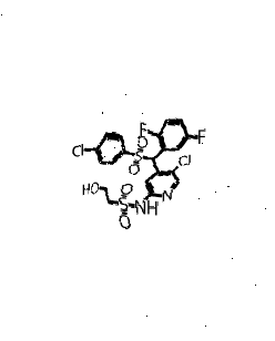 O=S(=O)(CCO)Nc1cc(C(c2cc(F)ccc2F)S(=O)(=O)c2ccc(Cl)cc2)c(Cl)cn1